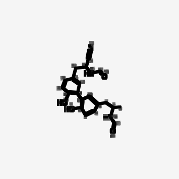 CC(Cc1ccc(O)c(-c2cc(CC(C#N)NC=O)ccc2O)c1)NC=O